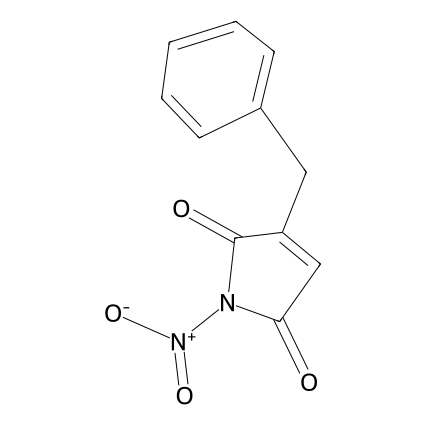 O=C1C=C(Cc2ccccc2)C(=O)N1[N+](=O)[O-]